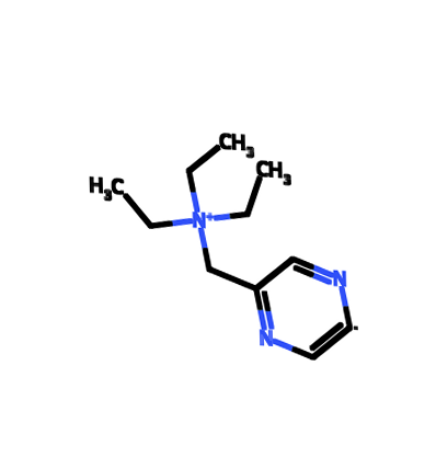 CC[N+](CC)(CC)Cc1cn[c]cn1